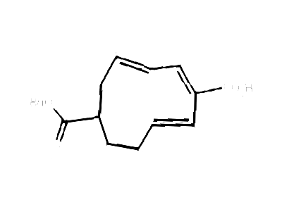 CC(C)COC(=O)C1C/C=C/C=C(C(=O)O)\C=C\CC1